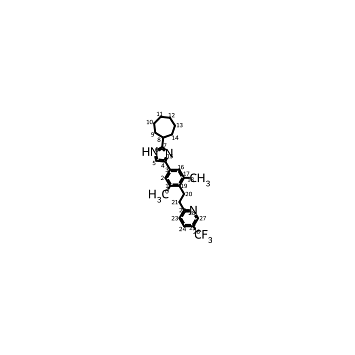 Cc1cc(-c2c[nH]c(C3CCCCCC3)n2)cc(C)c1CCc1ccc(C(F)(F)F)cn1